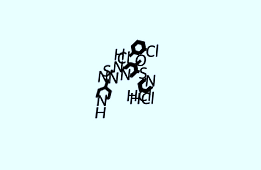 Cl.Cl.Clc1cccc(Cl)c1Oc1cc(Nc2nc(C3CCNCC3)ns2)ncc1Sc1ccccn1